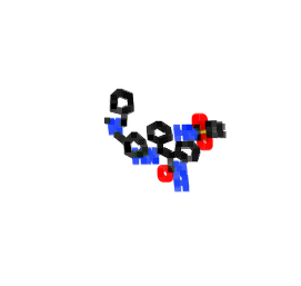 CCS(=O)(=O)Nc1ccc2c(c1)/C(=C(/Nc1ccc(CN(C)Cc3ccccc3)cc1)c1ccccc1)C(=O)N2